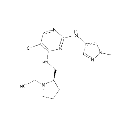 Cn1cc(Nc2ncc(Cl)c(NC[C@H]3CCCN3CC#N)n2)cn1